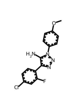 COc1ccc(-n2nnc(-c3ccc(Cl)cc3F)c2N)cc1